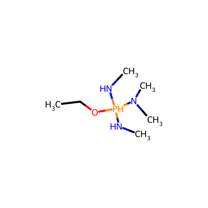 CCO[PH](NC)(NC)N(C)C